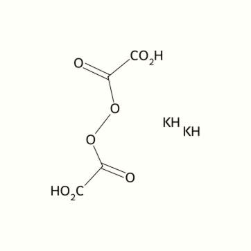 O=C(O)C(=O)OOC(=O)C(=O)O.[KH].[KH]